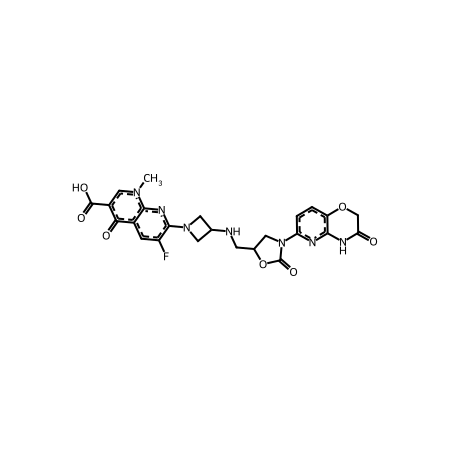 Cn1cc(C(=O)O)c(=O)c2cc(F)c(N3CC(NCC4CN(c5ccc6c(n5)NC(=O)CO6)C(=O)O4)C3)nc21